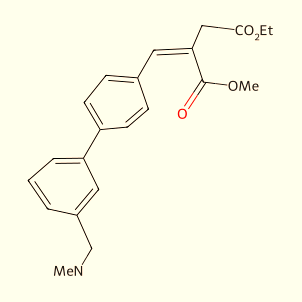 CCOC(=O)CC(=Cc1ccc(-c2cccc(CNC)c2)cc1)C(=O)OC